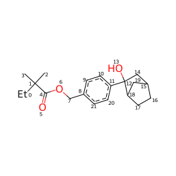 CCC(C)(C)C(=O)OCc1ccc(C2(O)CC3CCC2C3)cc1